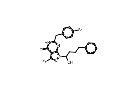 CCc1nn(C(C)CCCc2ccccc2)c2nc(Cc3ccc(Br)cc3)[nH]c(=O)c12